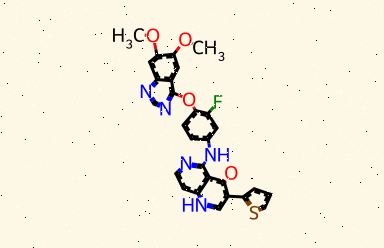 COc1cc2ncnc(Oc3ccc(Nc4nccc5[nH]cc(-c6cccs6)c(=O)c45)cc3F)c2cc1OC